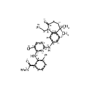 CNC(=O)c1cccc(F)c1Nc1nc(Nc2ccc3c(c2)N(CC(C)C)C(=O)CCC3(C)C)ncc1Cl